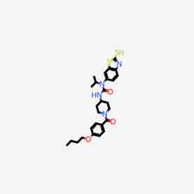 CCCCOc1ccc(C(=O)N2CCC(NC(=O)N(c3ccc4nc(S)sc4c3)C(C)C)CC2)cc1